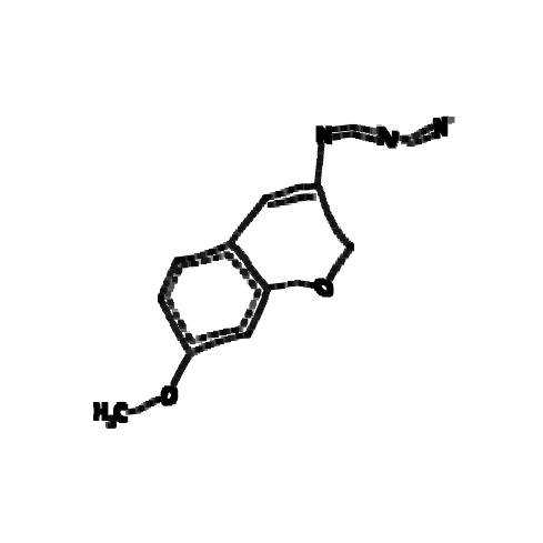 COc1ccc2c(c1)OCC(N=[N+]=[N-])=C2